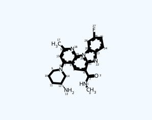 CNC(=O)c1cc2c(N3CCC[C@@H](N)C3)cc(C)nc2n2c1nc1ccc(F)cc12